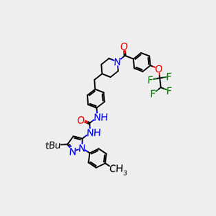 Cc1ccc(-n2nc(C(C)(C)C)cc2NC(=O)Nc2ccc(CC3CCN(C(=O)c4ccc(OC(F)(F)C(F)F)cc4)CC3)cc2)cc1